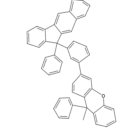 CC1(c2ccccc2)c2ccccc2Oc2cc(-c3cccc(C4(c5ccccc5)c5ccccc5-c5cc6ccccc6cc54)c3)ccc21